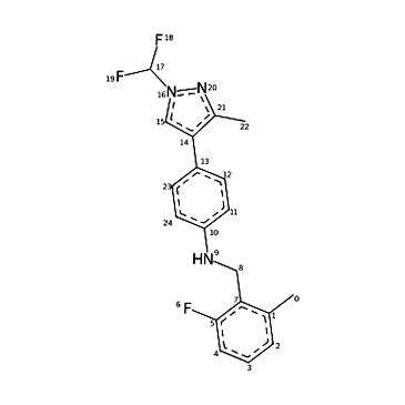 Cc1cccc(F)c1CNc1ccc(-c2cn(C(F)F)nc2C)cc1